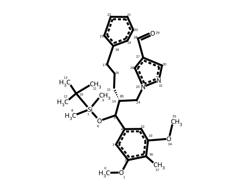 COc1cc(C(O[Si](C)(C)C(C)(C)C)[C@H](CCCc2ccccc2)Cn2cc(C=O)cn2)cc(OC)c1C